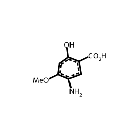 COc1cc(O)c(C(=O)O)cc1N